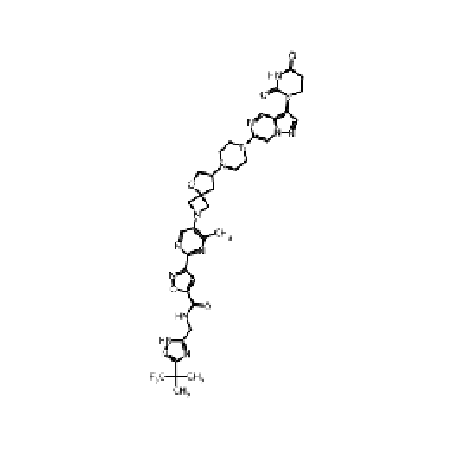 Cc1nc(-c2cc(C(=O)NCc3nc(C(C)(C)C(F)(F)F)n[nH]3)on2)ncc1N1CC2(CC(N3CCN(c4cn5ncc(N6CCC(=O)NC6=O)c5cn4)CC3)CO2)C1